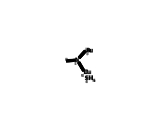 CCC(C)N(C)C(C)CC.[SiH4]